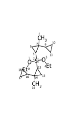 CCO[Si](OCC)(C1CC1(C)C1CC1)C1CC1(C)C1CC1